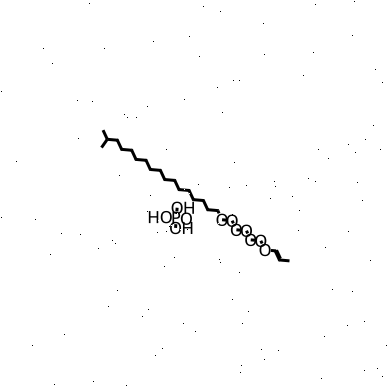 CC=COOOOOOOCCCCCCCCCCCCCCCC(C)C.O=P(O)(O)O